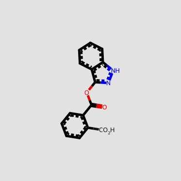 O=C(O)c1ccccc1C(=O)Oc1n[nH]c2ccccc12